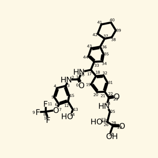 O=C(Nc1ccc(OC(F)(F)F)c(CO)c1)NC(c1ccc(C(=O)NC[C@@H](O)C(=O)O)cc1)c1ccc(C2CCCCC2)cc1